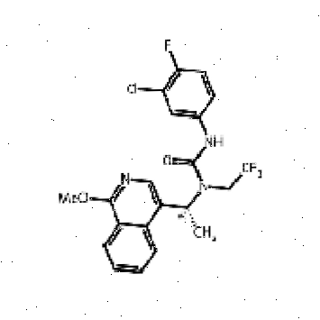 COc1ncc([C@@H](C)N(CC(F)(F)F)C(=O)Nc2ccc(F)c(Cl)c2)c2ccccc12